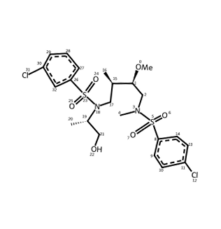 CO[C@@H](CN(C)S(=O)(=O)c1ccc(Cl)cc1)[C@H](C)CN([C@@H](C)CO)S(=O)(=O)c1cccc(Cl)c1